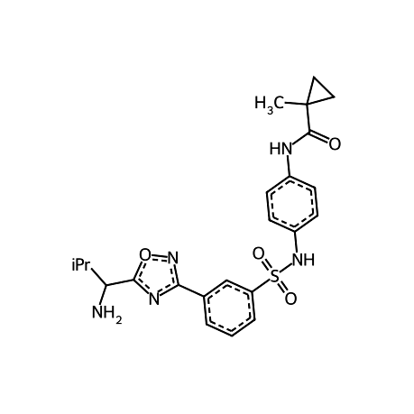 CC(C)C(N)c1nc(-c2cccc(S(=O)(=O)Nc3ccc(NC(=O)C4(C)CC4)cc3)c2)no1